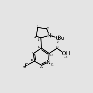 CC(C)(C)N1CCCC1c1cc(F)cnc1CO